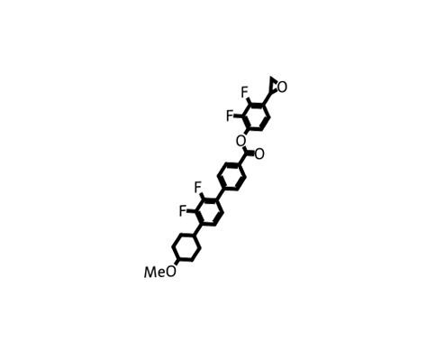 COC1CCC(c2ccc(-c3ccc(C(=O)Oc4ccc(C5CO5)c(F)c4F)cc3)c(F)c2F)CC1